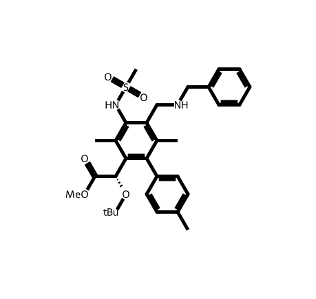 COC(=O)[C@@H](OC(C)(C)C)c1c(C)c(NS(C)(=O)=O)c(CNCc2ccccc2)c(C)c1-c1ccc(C)cc1